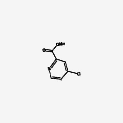 COC(=O)c1cc(Cl)[c]cn1